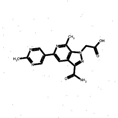 Cc1ncc(-c2cc3c(C(N)=O)nn(CC(=O)O)c3c(C)n2)cn1